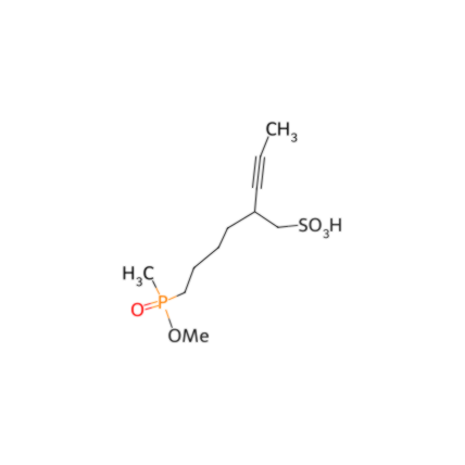 CC#CC(CCCCP(C)(=O)OC)CS(=O)(=O)O